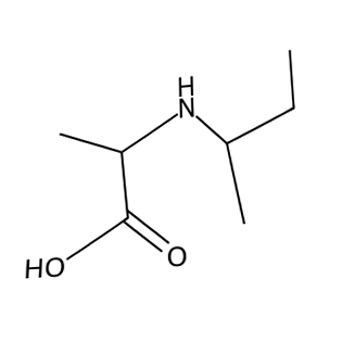 CCC(C)NC(C)C(=O)O